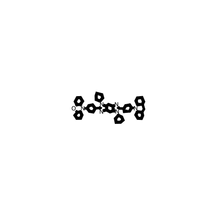 c1ccc(-n2c(-c3ccc(N4c5ccccc5Cc5ccccc54)cc3)nc3cc4c(cc32)nc(-c2ccc(N3c5ccccc5Oc5ccccc53)cc2)n4-c2ccccc2)cc1